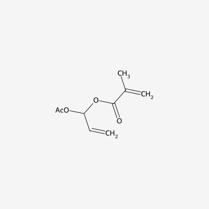 C=CC(OC(C)=O)OC(=O)C(=C)C